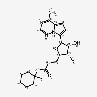 CC1(OC(=O)OC[C@H]2O[C@@H](c3ccc4c(N)ncnn34)[C@H](O)[C@@H]2O)CCCCC1